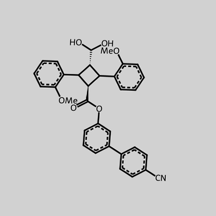 COc1ccccc1C1[C@H](C(=O)Oc2cccc(-c3ccc(C#N)cc3)c2)C(c2ccccc2OC)[C@H]1C(O)O